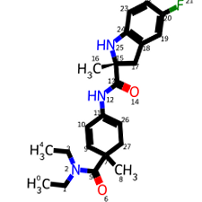 CCN(CC)C(=O)C1(C)C=CC(NC(=O)[C@@]2(C)Cc3cc(F)ccc3N2)=CC1